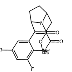 CC(C)(C)OC(=O)N1C2CCC1c1c(c(=O)[nH]c3c(F)cc(Cl)cc13)C2